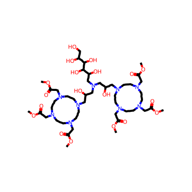 COC(=O)CN1CCN(CC(=O)OC)CCN(CC(O)CN(CC(O)CN2CCN(CC(=O)OC)CCN(CC(=O)OC)CCN(CC(=O)OC)CC2)CC(O)C(O)C(O)C(O)CO)CCN(CC(=O)OC)CC1